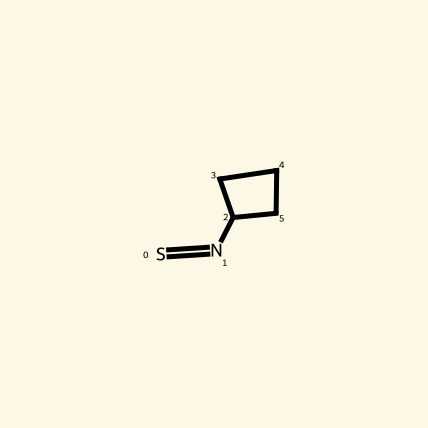 S=NC1CCC1